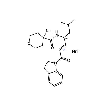 CC(C)C[C@@H](/C=C/C(=O)N1CCc2ccccc21)NC(=O)C1(N)CCOCC1.Cl